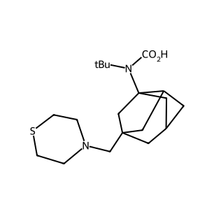 CC(C)(C)N(C(=O)O)C12CC3CC1CC(CN1CCSCC1)(C3)C2